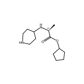 C[C@H](NC1CCNCC1)C(=O)OC1CCCC1